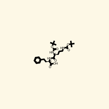 CC(C)(C)OC(=O)NCCC[C@H](NC(=O)OC(C)(C)C)C(=O)N[C@H](CCc1ccccc1)C(=O)O